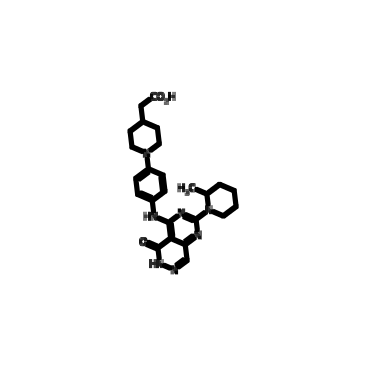 CC1CCCCN1c1nc(Nc2ccc(N3CCC(CC(=O)O)CC3)cc2)c2c(=O)[nH]ncc2n1